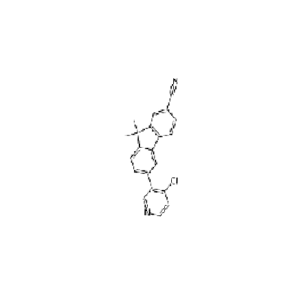 CC1(C)c2ccc(-c3cnccc3Cl)cc2-c2ccc(C#N)cc21